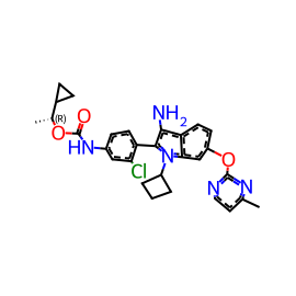 Cc1ccnc(Oc2ccc3c(N)c(-c4ccc(NC(=O)O[C@H](C)C5CC5)cc4Cl)n(C4CCC4)c3c2)n1